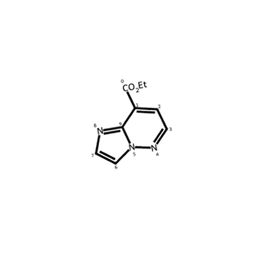 CCOC(=O)c1ccnn2ccnc12